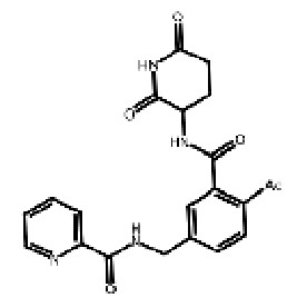 CC(=O)c1ccc(CNC(=O)c2ccccn2)cc1C(=O)NC1CCC(=O)NC1=O